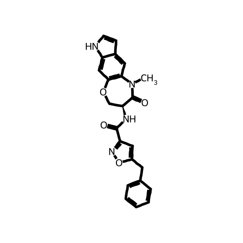 CN1C(=O)[C@@H](NC(=O)c2cc(Cc3ccccc3)on2)COc2cc3[nH]ccc3cc21